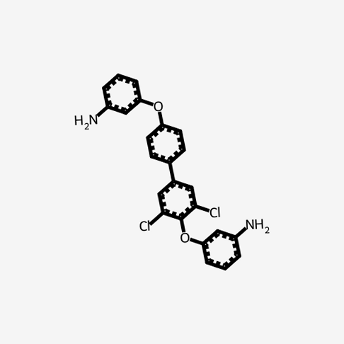 Nc1cccc(Oc2ccc(-c3cc(Cl)c(Oc4cccc(N)c4)c(Cl)c3)cc2)c1